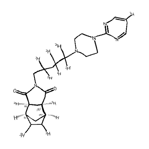 [2H]c1cnc(N2CCN(C([2H])([2H])C([2H])([2H])C([2H])([2H])CN3C(=O)[C@@]4([2H])[C@@H]5C[C@@H](C([2H])C5[2H])[C@@]4([2H])C3=O)CC2)nc1